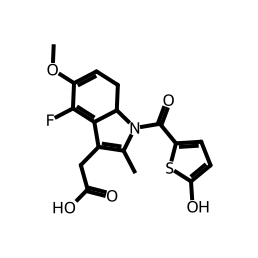 COC1=CCC2C(=C1F)C(CC(=O)O)=C(C)N2C(=O)c1ccc(O)s1